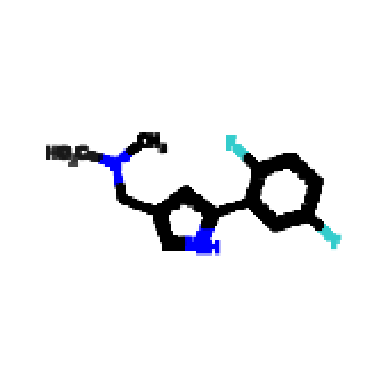 CN(Cc1c[nH]c(-c2cc(F)ccc2F)c1)C(=O)O